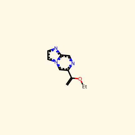 C=C(OCC)c1cn2ccnc2cn1